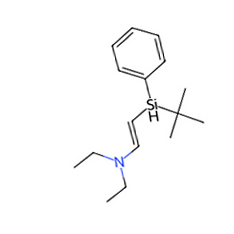 CCN(C=C[SiH](c1ccccc1)C(C)(C)C)CC